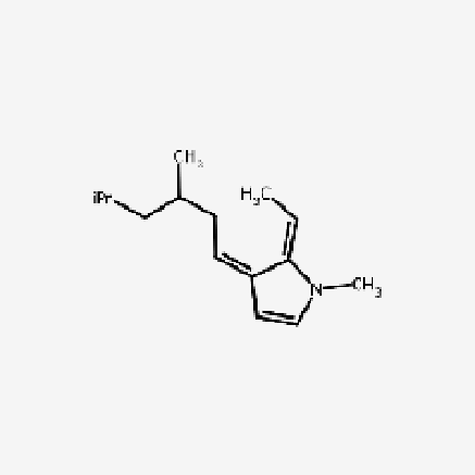 C/C=c1\c(=C/CC(C)CC(C)C)ccn1C